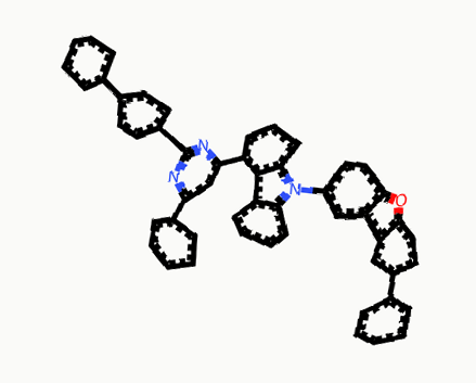 c1ccc(-c2ccc(-c3nc(-c4ccccc4)cc(-c4cccc5c4c4ccccc4n5-c4ccc5oc6ccc(-c7ccccc7)cc6c5c4)n3)cc2)cc1